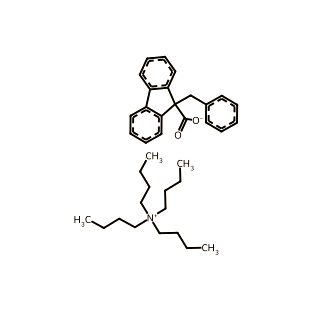 CCCC[N+](CCCC)(CCCC)CCCC.O=C([O-])C1(Cc2ccccc2)c2ccccc2-c2ccccc21